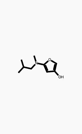 CC(C)CN(C)c1cc(O)co1